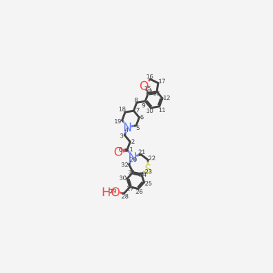 O=C(CCN1CCC(Cc2cccc3c2OCC3)CC1)N1CCSc2ccc(CO)cc2C1